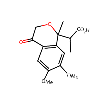 COc1cc2c(cc1OC)C(C)(C(C)C(=O)O)OCC2=O